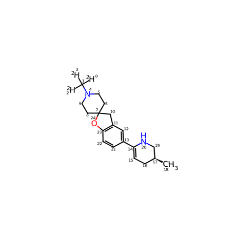 [2H]C([2H])([2H])N1CCC2(CC1)Cc1cc(C3=CC[C@H](C)CN3)ccc1O2